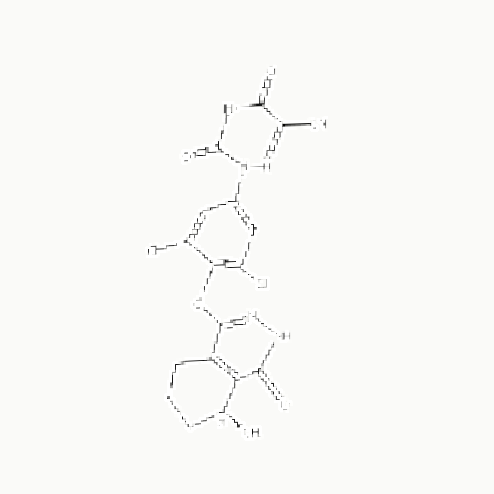 C[C@H]1CCCc2c(Oc3c(Cl)cc(-n4nc(C#N)c(=O)[nH]c4=O)cc3Cl)n[nH]c(=O)c21